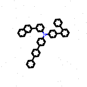 c1ccc(-c2ccc(-c3ccc(N(c4ccc(-c5ccccc5-c5ccccc5)cc4)c4cccc(-c5ccc6ccccc6c5)c4)cc3)cc2)cc1